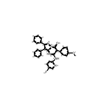 COc1ccc(-c2c(Nc3ccc(F)cn3)[nH]c3c(-c4ccccc4)c(-c4ccccc4)nn3c2=O)cc1